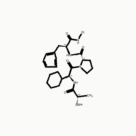 CCNC(=O)[C@H](Cc1ccccc1)NC(=O)[C@@H]1CCCN1C(=O)[C@@H](NC(=O)[C@H](C)NC)C1CCCCC1